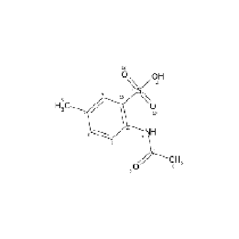 CC(=O)Nc1ccc(C)cc1S(=O)(=O)O